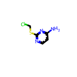 Nc1ccnc(SCCl)n1